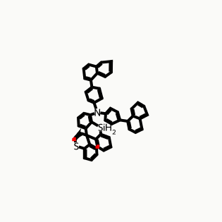 c1ccc2c(c1)[SiH2]c1c(N(c3ccc(-c4cccc5ccccc45)cc3)c3ccc(-c4cccc5ccccc45)cc3)cccc1C21c2ccccc2Sc2ccccc21